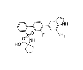 Nc1cc(-c2ccc(-c3ccccc3S(=O)(=O)NC3(CO)CCCC3)cc2F)cc2cc[nH]c12